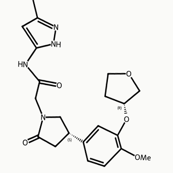 COc1ccc([C@@H]2CC(=O)N(CC(=O)Nc3cc(C)n[nH]3)C2)cc1O[C@@H]1CCOC1